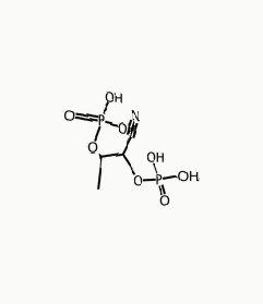 CC(OP(=O)(O)O)C(C#N)OP(=O)(O)O